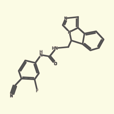 N#Cc1ccc(NC(=O)NCC2c3ccccc3-c3cncn32)cc1F